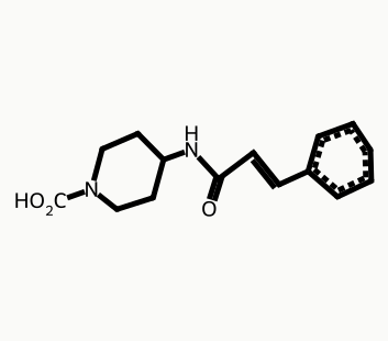 O=C(C=Cc1ccccc1)NC1CCN(C(=O)O)CC1